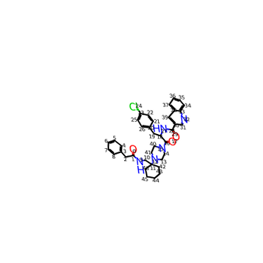 O=C(Cc1ccccc1)NCC1(N2CCN(C(=O)C(Cc3ccc(Cl)cc3)NC(=O)c3cnc4ccccc4c3)CC2)CCCCC1